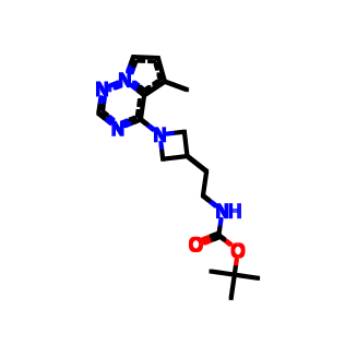 Cc1ccn2ncnc(N3CC(CCNC(=O)OC(C)(C)C)C3)c12